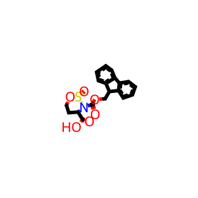 O=C(O)C1CCOS(=O)N1C(=O)OCC1c2ccccc2-c2ccccc21